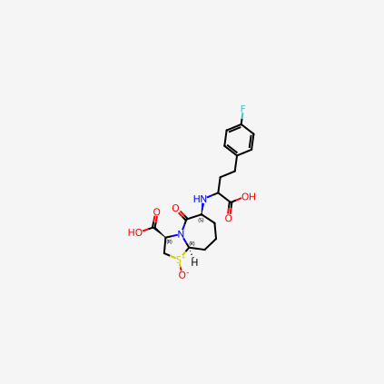 O=C(O)C(CCc1ccc(F)cc1)N[C@H]1CCC[C@@H]2N(C1=O)[C@H](C(=O)O)C[S+]2[O-]